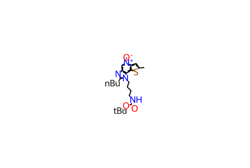 CCCCc1nc2c[n+]([O-])c3cc(C)sc3c2n1CCCCNC(=O)OC(C)(C)C